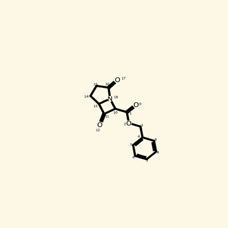 O=C(OCc1ccccc1)C1C(=O)C2CCC(=O)N21